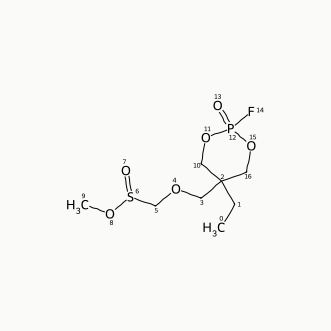 CCC1(COCS(=O)OC)COP(=O)(F)OC1